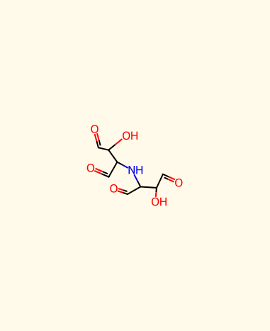 O=CC(O)C(C=O)NC(C=O)C(O)C=O